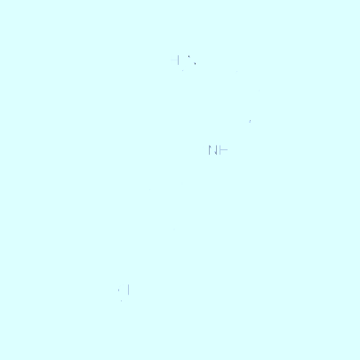 Nc1cccc(NC/C=C/c2ccc(Cl)cc2)c1